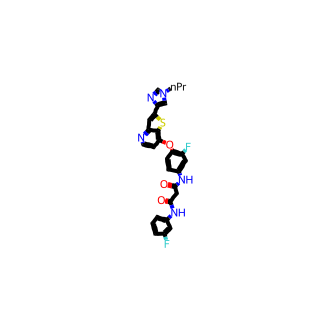 CCCn1cnc(-c2cc3nccc(Oc4ccc(NC(=O)CC(=O)Nc5cccc(F)c5)cc4F)c3s2)c1